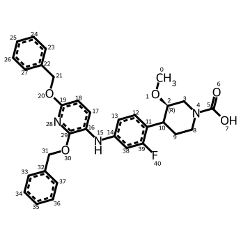 CO[C@H]1CN(C(=O)O)CCC1c1ccc(Nc2ccc(OCc3ccccc3)nc2OCc2ccccc2)cc1F